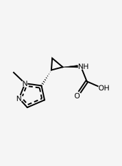 Cn1nccc1[C@@H]1C[C@H]1NC(=O)O